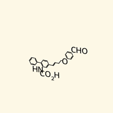 O=Cc1ccc(OCC/C=C/c2ccc(-c3ccccc3)c(NC(=O)O)c2)cc1